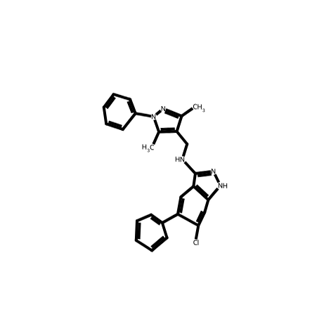 Cc1nn(-c2ccccc2)c(C)c1CNc1n[nH]c2cc(Cl)c(-c3ccccc3)cc12